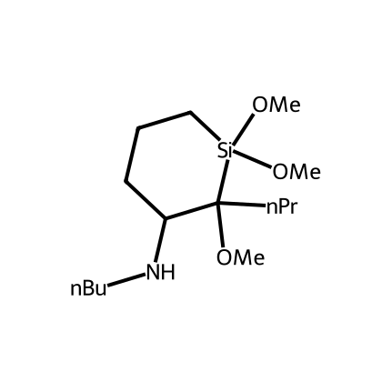 CCCCNC1CCC[Si](OC)(OC)C1(CCC)OC